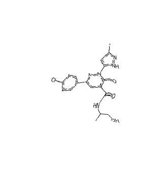 Cc1cc(-n2nc(-c3ccc(Cl)cc3)cc(C(=O)NC(C)CO)c2=O)[nH]n1